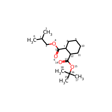 CC(C)COC(=O)C1CCCCC1C(=O)OC(C)(C)C